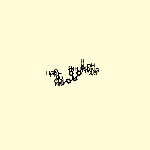 COC(=O)N[C@H](C(=O)N1CCC[C@H]1c1nc(-c2ccc(-c3ccc(-c4ccc(-c5c[nH]c([C@@H]6CCCN6C(=O)[C@@H](NC(=O)O)C(C)C)n5)cc4)n3-c3ccc4cn[nH]c4c3)cc2)c[nH]1)C(C)C